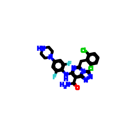 NC(=O)c1c(Nc2c(F)cc(N3CCNCC3)cc2F)nc(Cc2c(Cl)cccc2Cl)n2cnnc12